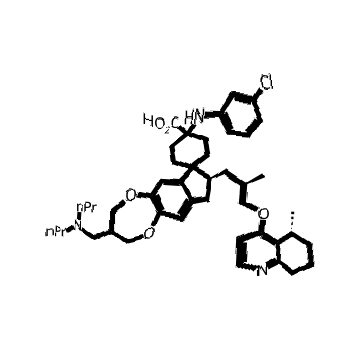 CCCN(CCC)CC1COc2cc3c(cc2OC1)C1(CCC(Nc2cccc(Cl)c2)(C(=O)O)CC1)[C@@H](C[C@@H](C)COc1ccnc2c1[C@H](C)CCC2)C3